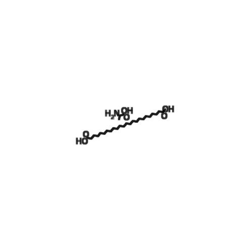 CC(N)C(=O)O.O=C(O)CCCCCCCCCCCCCCCCCCCCCCC(=O)O